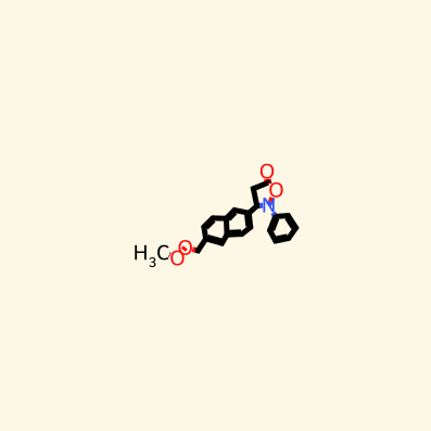 COOCc1ccc2cc(C3CC(=O)ON3c3ccccc3)ccc2c1